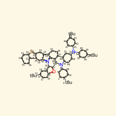 CC(C)(C)c1ccc(N2B3c4oc5ccc(C(C)(C)C)cc5c4-n4c5cc6c(cc5c5ccc(c3c54)-c3cc(N(c4ccc(C(C)(C)C)cc4)c4ccc(C(C)(C)C)cc4)ccc32)sc2ccccc26)cc1